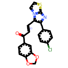 O=C(/C=C/c1c(-c2ccc(Cl)cc2)nc2sccn12)c1ccc2c(c1)OCO2